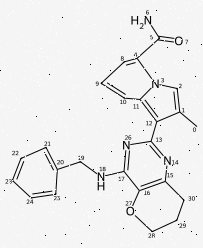 Cc1cn2c(C(N)=O)cccc2c1-c1nc2c(c(NCc3ccccc3)n1)OCCC2